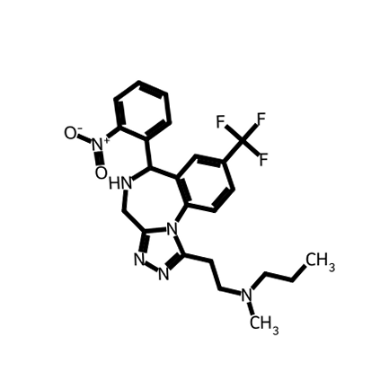 CCCN(C)CCc1nnc2n1-c1ccc(C(F)(F)F)cc1C(c1ccccc1[N+](=O)[O-])NC2